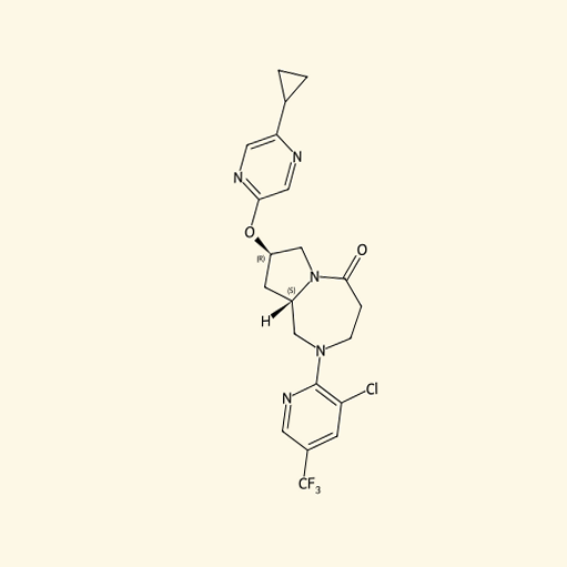 O=C1CCN(c2ncc(C(F)(F)F)cc2Cl)C[C@@H]2C[C@@H](Oc3cnc(C4CC4)cn3)CN12